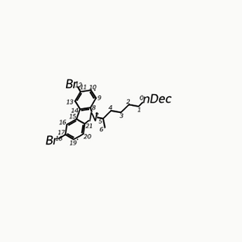 CCCCCCCCCCCCCCC(C)n1c2c[c]c(Br)cc2c2cc(Br)[c]cc21